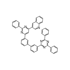 c1ccc(-c2nc(-c3cccc(-c4cccc(-c5nc(-c6ccccc6)nc(-c6ccccc6)n5)c4)c3)cc(-c3cnc4ccccc4c3)n2)cc1